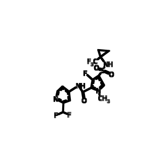 Cn1cc(S(=O)(=O)NC2(C(F)(F)F)CC2)c(F)c1C(=O)Nc1ccnc(C(F)F)c1